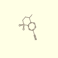 CC1CCS(=O)(=O)c2cc(C#N)ccc21